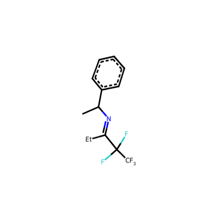 CC/C(=N\C(C)c1ccccc1)C(F)(F)C(F)(F)F